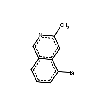 Cc1cc2c(Br)cccc2cn1